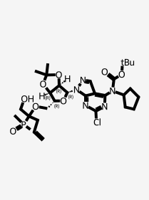 C=CCC(CO)(OC[C@H]1O[C@@H](n2ncc3c(N(C(=O)OC(C)(C)C)C4CCCC4)nc(Cl)nc32)[C@@H]2OC(C)(C)O[C@@H]21)P(C)(C)=O